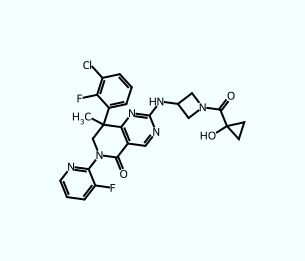 CC1(c2cccc(Cl)c2F)CN(c2ncccc2F)C(=O)c2cnc(NC3CN(C(=O)C4(O)CC4)C3)nc21